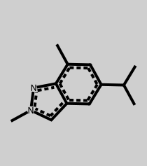 Cc1cc(C(C)C)cc2cn(C)nc12